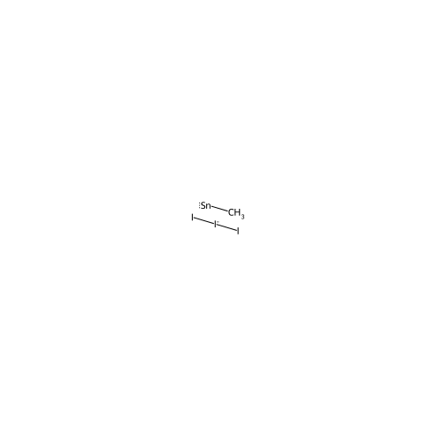 I[I-]I.[CH3][Sn]